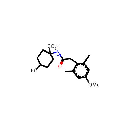 CCC1CCC(NC(=O)Cc2c(C)cc(OC)cc2C)(C(=O)O)CC1